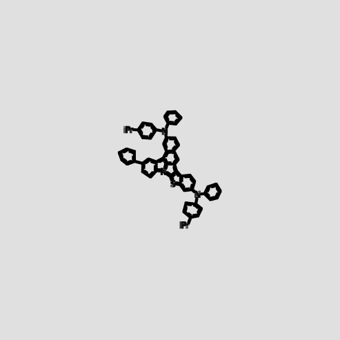 CC(C)c1ccc(N(c2ccccc2)c2ccc3c(c2)sc2c3c3cc4ccc(N(c5ccccc5)c5ccc(C(C)C)cc5)cc4c4c5cc(-c6ccccc6)ccc5n2c34)cc1